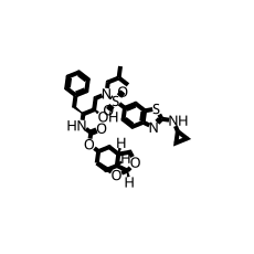 CC(C)CN(C[C@@H](O)[C@H](Cc1ccccc1)NC(=O)OC1C[C@@H]2CO[C@@H]3OC1C[C@H]23)S(=O)(=O)c1ccc2nc(NC3CC3)sc2c1